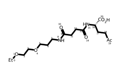 CCOCCOCCCNC(=O)CCC(=O)N[C@@H](CCC(C)=O)C(=O)O